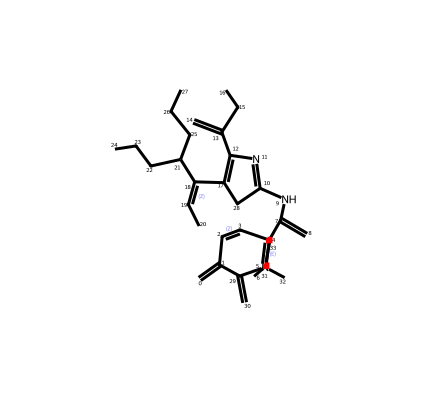 C=C(/C=C\C(=C/C)C(=C)NC1=NC(C(=C)CC)=C(/C(=C\C)C(CCC)CCC)C1)C(=C)N(C)C